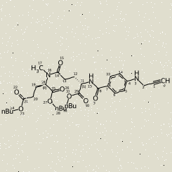 C#CCNc1ccc(C(=O)N[C@@H](CCC(=O)N(C)[C@H](CCC(=O)OCCCC)C(=O)OCCCC)C(=O)OCCCC)cc1